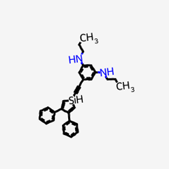 CCCNc1cc(C#C[SiH]2C=C(c3ccccc3)C(c3ccccc3)=C2)cc(NCCC)c1